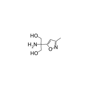 Cc1cc(C(N)(CO)CO)on1